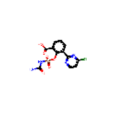 NC(=O)NS(=O)(=O)Oc1c(C(=O)O)cccc1-c1nccc(Cl)n1